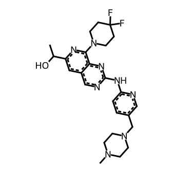 CC(O)c1cc2cnc(Nc3ccc(CN4CCN(C)CC4)cn3)nc2c(N2CCC(F)(F)CC2)n1